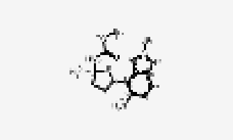 CC(C)n1cc2c(N3CC[C@@](C)(NC(=O)OC(C)(C)C)C3)c(N)ccc2n1